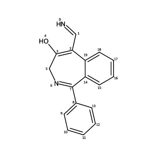 N=CC1=C(O)CN=C(c2ccccc2)c2ccccc21